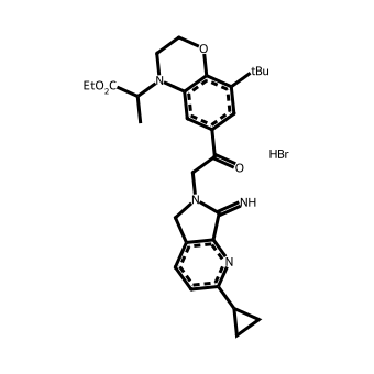 Br.CCOC(=O)C(C)N1CCOc2c1cc(C(=O)CN1Cc3ccc(C4CC4)nc3C1=N)cc2C(C)(C)C